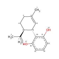 C=C(C)[C@H]1CCC(C)=C[C@@H]1c1c(O)c[c]cc1O